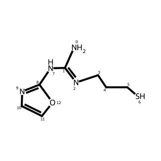 NC(=NCCCS)Nc1ncco1